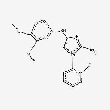 COc1ccc(Nc2nc(N)n(-c3ccccc3Cl)n2)cc1OC